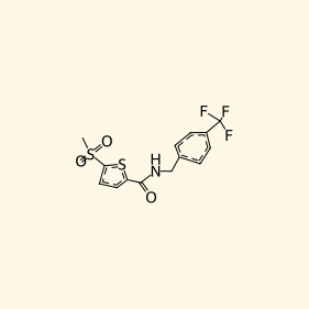 CS(=O)(=O)c1ccc(C(=O)NCc2ccc(C(F)(F)F)cc2)s1